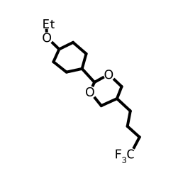 CCOC1CCC(C2OCC(CCCC(F)(F)F)CO2)CC1